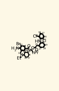 CCCC(NC(=O)c1cc(Br)c(N)c(CN(CC)C2CCCCC2)c1)OC(=O)Cc1ccccc1Nc1c(Cl)cccc1Cl